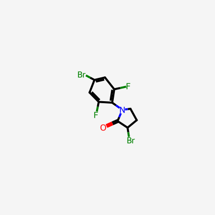 O=C1C(Br)CCN1c1c(F)cc(Br)cc1F